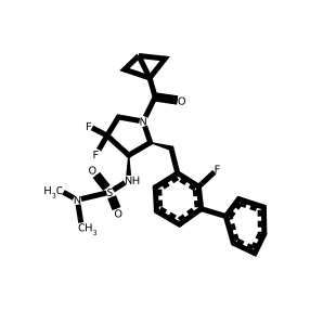 CN(C)S(=O)(=O)N[C@@H]1[C@H](Cc2cccc(-c3ccccc3)c2F)N(C(=O)C23CC2C3)CC1(F)F